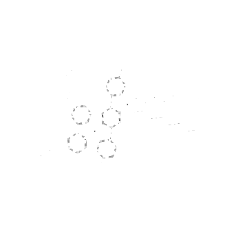 CCCCCCCCC1(CCCCCCCC)c2cc(Br)ccc2-c2cc3c(cc21)-c1ccc(Br)cc1C3(c1ccc(CCCO)cc1)c1ccc(CCCO)cc1